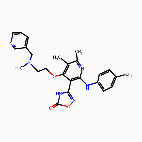 Cc1nc(Nc2ccc(C(F)(F)F)cc2)c(-c2noc(=O)[nH]2)c(OCCN(C)Cc2cccnc2)c1C